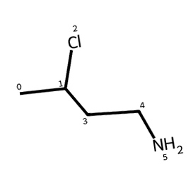 CC(Cl)CCN